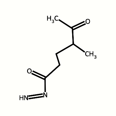 CC(=O)C(C)CCC(=O)N=N